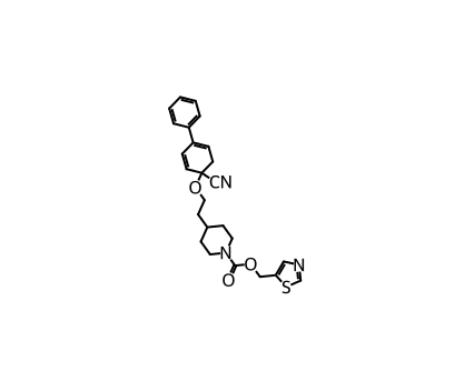 N#CC1(OCCC2CCN(C(=O)OCc3cncs3)CC2)C=CC(c2ccccc2)=CC1